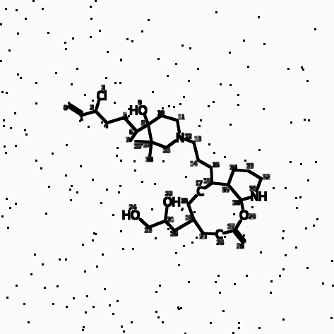 C=CC(Cl)CCC(C)C1(O)CCN(CCCC2CCC(CC(O)CO)CCC(=C)OC3NCCCC23)CC1(C)C